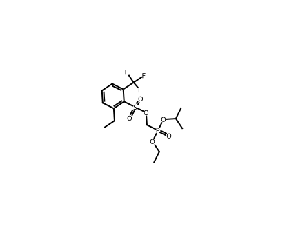 CCOP(=O)(COS(=O)(=O)c1c(CC)cccc1C(F)(F)F)OC(C)C